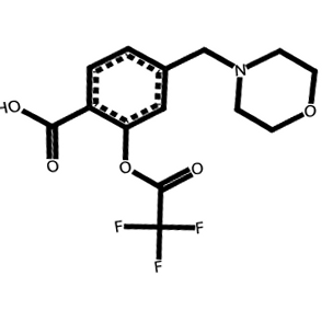 O=C(O)c1ccc(CN2CCOCC2)cc1OC(=O)C(F)(F)F